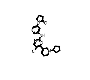 O=C1CCCN1c1cncc(Nc2ncc(Cl)c(C3=CCCN(C4CCCC4)C3)n2)c1